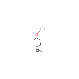 C[C@H]1CC[C@H](OCC(F)(F)F)CC1